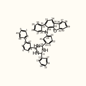 c1ccc(-c2cccc(C3NC(c4ccccc4)NC(c4cccc(-n5c6ccccc6c6ccc7c8ccccc8oc7c65)c4)N3)c2)cc1